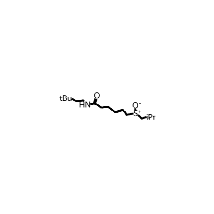 CC(C)C[S+]([O-])CCCCCC(=O)NCCC(C)(C)C